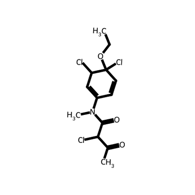 CCOC1(Cl)C=CC(N(C)C(=O)C(Cl)C(C)=O)=CC1Cl